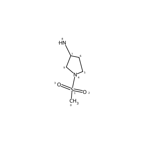 CS(=O)(=O)N1CCC([NH])C1